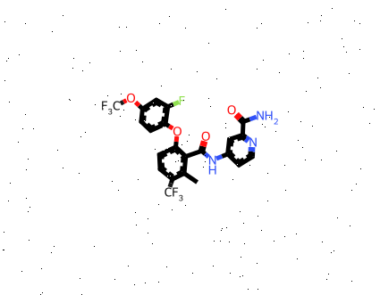 Cc1c(C(F)(F)F)ccc(Oc2ccc(OC(F)(F)F)cc2F)c1C(=O)Nc1ccnc(C(N)=O)c1